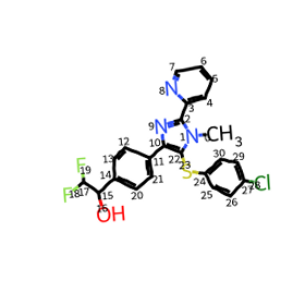 Cn1c(-c2ccccn2)nc(-c2ccc(C(O)C(F)F)cc2)c1Sc1ccc(Cl)cc1